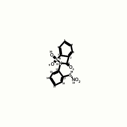 O=C1c2ccccc2S(=O)(=O)N1c1ccccc1S[N+](=O)[O-]